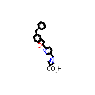 O=C(O)C1CN(Cc2ccc(-c3cc4cc(Cc5ccccc5)ccc4o3)nc2)C1